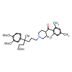 CCCCCCCCCCCCC(C#N)(CCCN1CCC(C(=O)c2c(C)cc(C)cc2C)CC1)c1ccc(OC)c(OC)c1